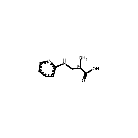 N[C@H](CNc1ccccn1)C(=O)O